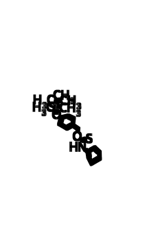 CC(C)(C)[Si](C)(C)Oc1ccc(COC(=S)Nc2ccccc2)cc1